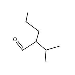 [CH2]C(C)C(C=O)CCC